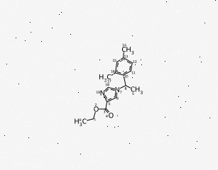 CCOC(=O)c1cn(C(C)c2ccc(C)cc2C)cn1